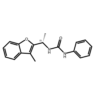 Cc1c([C@H](C)NC(=O)Nc2ccccc2)oc2ccccc12